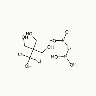 OCC(CO)(CO)C(O)(Cl)Cl.OP(O)OP(O)O